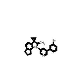 C=C(Nc1cncc(-c2cccc(CC)c2)c1)C1(c2ccc3c(c2)CCC3)CC1